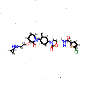 Cc1cc(N2C[C@H](CNC(=O)c3ccc(Cl)s3)OC2=O)ccc1-n1cccc(OCCNC2CC2)c1=O